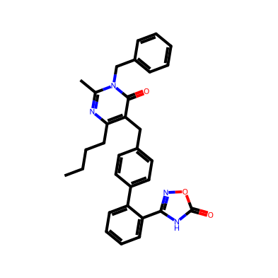 CCCCc1nc(C)n(Cc2ccccc2)c(=O)c1Cc1ccc(-c2ccccc2-c2noc(=O)[nH]2)cc1